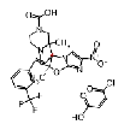 CC1(C/C=C/c2cccc(C(F)(F)F)c2)CN(C(=O)O)CCN1C[C@@]1(C)Cn2cc([N+](=O)[O-])nc2O1.O=C(O)/C=C\C(=O)O